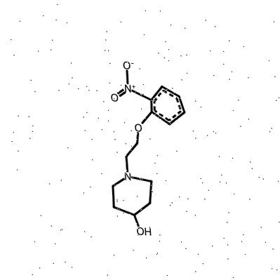 O=[N+]([O-])c1ccccc1OCCN1CCC(O)CC1